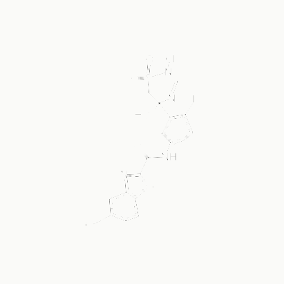 CN1C=NC(C)(c2cc(NC(=O)c3nc4cc(Cl)ccc4o3)ccc2F)CS1(=O)=O